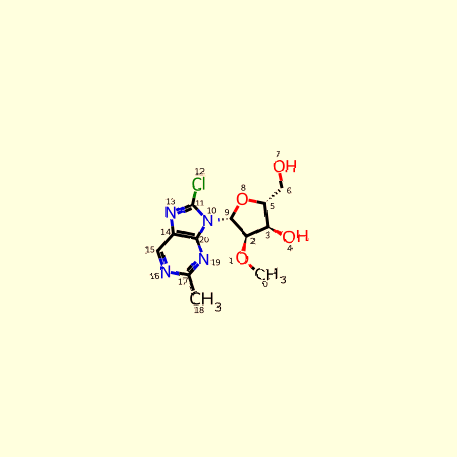 CO[C@@H]1[C@H](O)[C@@H](CO)O[C@H]1n1c(Cl)nc2cnc(C)nc21